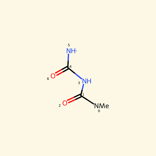 CNC(=O)NC([NH])=O